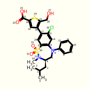 CC(C)C[C@@H]1CN(c2ccccc2)c2cc(Cl)c(-c3cc(C(=O)O)sc3CO)cc2S(=O)(=O)N1C